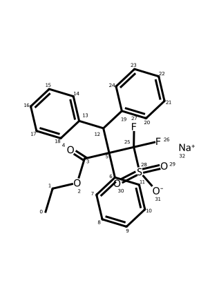 CCOC(=O)C(c1ccccc1)(C(c1ccccc1)c1ccccc1)C(F)(F)S(=O)(=O)[O-].[Na+]